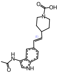 CC(=O)Nc1c[nH]c2ccc(/C=C/C3CCN(C(=O)O)CC3)cc12